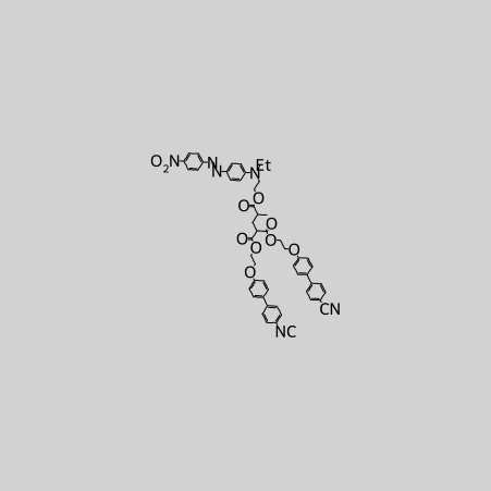 [C-]#[N+]c1ccc(-c2ccc(OCCOC(=O)C(CC(C)C(=O)OCCN(CC)c3ccc(/N=N/c4ccc([N+](=O)[O-])cc4)cc3)C(=O)OCCOc3ccc(-c4ccc(C#N)cc4)cc3)cc2)cc1